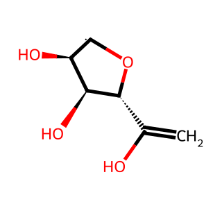 C=C(O)[C@H]1O[CH][C@H](O)[C@@H]1O